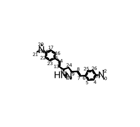 CN(C)c1ccc(C=CC2=NNC(C=Cc3ccc(N(C)C)cc3)C2)cc1